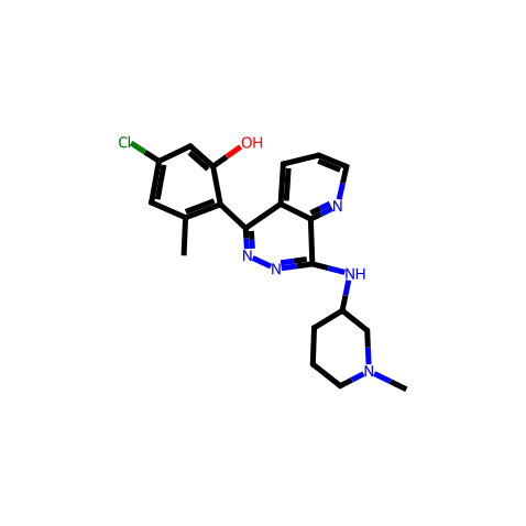 Cc1cc(Cl)cc(O)c1-c1nnc(NC2CCCN(C)C2)c2ncccc12